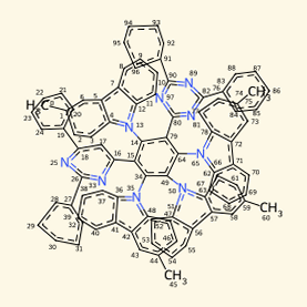 Cc1ccc2c(c1)c1ccccc1n2-c1c(-c2cc(-c3ccccc3)nc(-c3ccccc3)n2)c(-n2c3ccccc3c3cc(C)ccc32)c(-n2c3ccccc3c3cc(C)ccc32)c(-n2c3ccccc3c3cc(C)ccc32)c1-c1nc(-c2ccccc2)nc(-c2ccccc2)n1